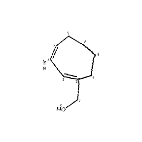 OCC1=CC=CCCCC1.[Ir]